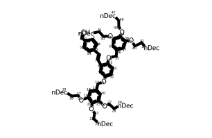 [CH]=Cc1ccc(C=Cc2cc(OCc3cc(OCCCCCCCCCCCC)c(OCCCCCCCCCCCC)c(OCCCCCCCCCCCC)c3)[c]cc2OCc2cc(OCCCCCCCCCCCC)c(OCCCCCCCCCCCC)c(OCCCCCCCCCCCC)c2)cc1